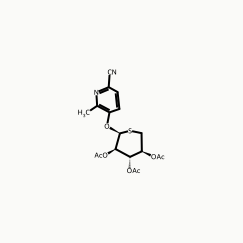 CC(=O)O[C@@H]1[C@@H](OC(C)=O)[C@@H](Oc2ccc(C#N)nc2C)SC[C@H]1OC(C)=O